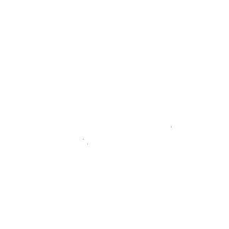 CC(=O)N1CCC2(CCN(Cc3ccccc3)C2)CC1